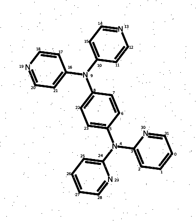 c1ccc(N(c2ccc(N(c3ccncc3)c3ccncc3)cc2)c2ccccn2)nc1